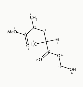 CCC(C)(CC(C)C(=O)OC)C(=O)OCO